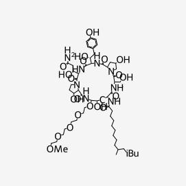 CCC(C)CC(C)CCCCCCCCC(=O)N[C@H]1C[C@@H](O)[C@@H](OCCOCCOCCOCCOC)NC(=O)C2[C@@H](O)CCN2C(=O)C([C@H](O)CC(N)=O)NC(=O)C([C@H](O)Cc2ccc(O)cc2)NC(=O)C2C[C@@H](O)CN2C(=O)C([C@@H](C)O)NC1=O